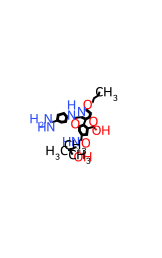 CCCCOc1ccc(-c2ccc(C(=O)N[C@H](CO)C(C)(C)C)cc2C(=O)O)c(C(=O)Nc2ccc(C(=N)N)cc2)n1